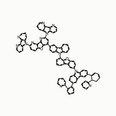 C1=CCC(c2ccccn2)C(c2ccc3c(c2)c2cc(-c4ccccc4-c4ccccn4)ccc2n3-c2ccc3oc4c(-n5c6ccccc6c6cc(-c7cc(-n8c9cccnc9c9ncccc98)nc8c7oc7ccc(-n9c%10cccnc%10c%10ncccc%109)nc78)ccc65)cccc4c3c2)=C1